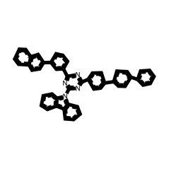 c1ccc(-c2ccc(-c3ccc(-c4nc(-c5cccc(-c6ccc7ccccc7c6)c5)nc(-n5c6ccccc6c6ccccc65)n4)cc3)cc2)cc1